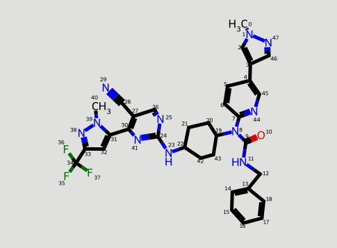 Cn1cc(-c2ccc(N(C(=O)NCc3ccccc3)C3CCC(Nc4ncc(C#N)c(-c5cc(C(F)(F)F)nn5C)n4)CC3)nc2)cn1